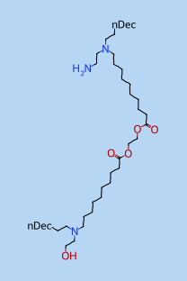 CCCCCCCCCCCCN(CCN)CCCCCCCCCC(=O)OCCOC(=O)CCCCCCCCCN(CCO)CCCCCCCCCCCC